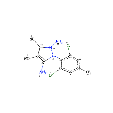 N#CC1=C(N)N(c2c(Cl)cc(C(F)(F)F)cc2Cl)N(N)C1C#N